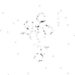 CCCC(=O)CC(C)(CCCC(O)c1ccccc1)[PH](c1ccccc1)(c1ccccc1)c1ccccc1